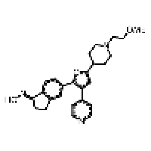 COCCN1CCC(c2cc(-c3ccncc3)c(-c3ccc4c(c3)CCC4=NO)o2)CC1